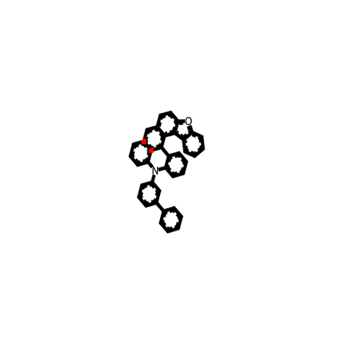 c1ccc(-c2cccc(N(c3ccccc3)c3ccccc3-c3cccc4ccc5oc6ccccc6c5c34)c2)cc1